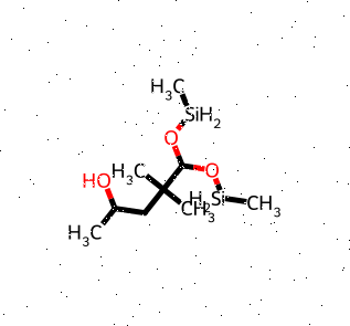 C[SiH2]OC(O[SiH2]C)C(C)(C)CC(C)O